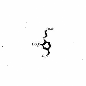 COCCOc1ccc(C[N+](=O)[O-])cc1C(=O)O